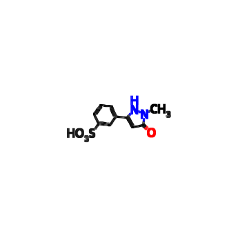 Cn1[nH]c(-c2cccc(S(=O)(=O)O)c2)cc1=O